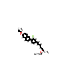 C=CCOc1ccc2cc(-c3ccc(C=CCCCC(C)OCCCCC)cc3F)ccc2c1